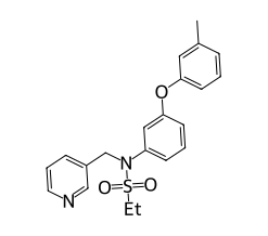 CCS(=O)(=O)N(Cc1cccnc1)c1cccc(Oc2cccc(C)c2)c1